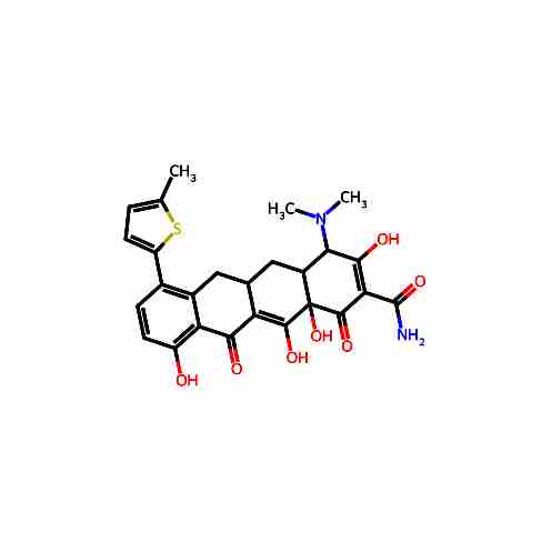 Cc1ccc(-c2ccc(O)c3c2CC2CC4C(N(C)C)C(O)=C(C(N)=O)C(=O)C4(O)C(O)=C2C3=O)s1